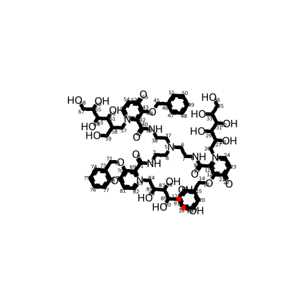 O=C(NCCN(CCNC(=O)c1c(OCc2ccccc2)c(=O)ccn1CC(O)C(O)C(O)C(O)CO)CCNC(=O)c1c(OCc2ccccc2)c(=O)ccn1CC(CO)C(O)C(O)C(O)CO)c1c(OCc2ccccc2)c(=O)ccn1CC(O)C(O)C(O)C(O)CO